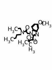 CCCCN(CC)C(=O)Cn1c(C(=O)C(C)(C)C)nc2cc(OC)ccc21